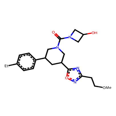 CCc1ccc(C2CC(c3nc(CCOC)no3)CN(C(=O)N3CC(O)C3)C2)cc1